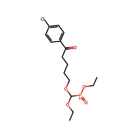 CCOC(OCCCCC(=O)c1ccc(Cl)cc1)[PH](=O)OCC